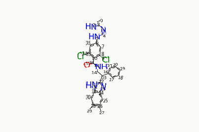 CC(=N)/N=C\Nc1cc(Cl)c(C(=O)NCC(c2ccccc2)c2nc3cc(C)c(C)cc3[nH]2)c(Cl)c1